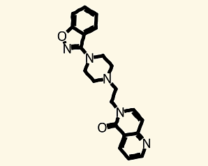 O=c1c2cccnc2ccn1CCN1CCN(c2noc3ccccc23)CC1